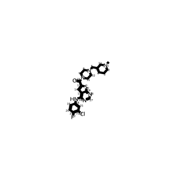 CN1CCCC(CN2CCN(C(=O)c3cc4c(Nc5ccc(F)c(Cl)c5)ncnc4s3)CC2)C1